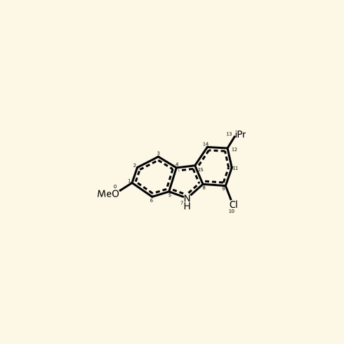 COc1ccc2c(c1)[nH]c1c(Cl)cc(C(C)C)cc12